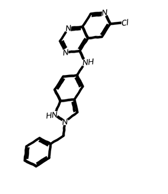 Clc1cc2c(NC3=CC4=CN(Cc5ccccc5)NC4C=C3)ncnc2cn1